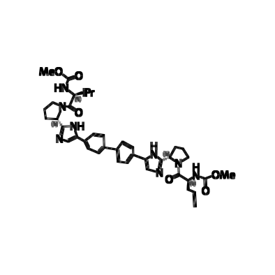 C=CC[C@H](NC(=O)OC)C(=O)N1CCC[C@H]1c1ncc(-c2ccc(-c3ccc(-c4cnc([C@@H]5CCCN5C(=O)[C@@H](NC(=O)OC)C(C)C)[nH]4)cc3)cc2)[nH]1